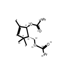 CCCC(=O)O[C@@H]1C(C)=CC(C)(C)[C@H]1COC(=O)C(C)C